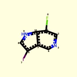 Fc1cncc2c(I)c[nH]c12